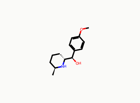 COc1ccc([C@@H](O)[C@H]2CCC[C@H](C)N2)cc1